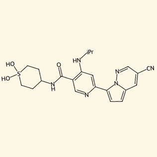 CC(C)Nc1cc(-c2ccc3cc(C#N)cnn23)ncc1C(=O)NC1CCS(O)(O)CC1